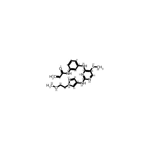 C=CC(=O)Nc1cccc(Nc2nc(Nc3cnn(CCOC)c3)ncc2SC)c1